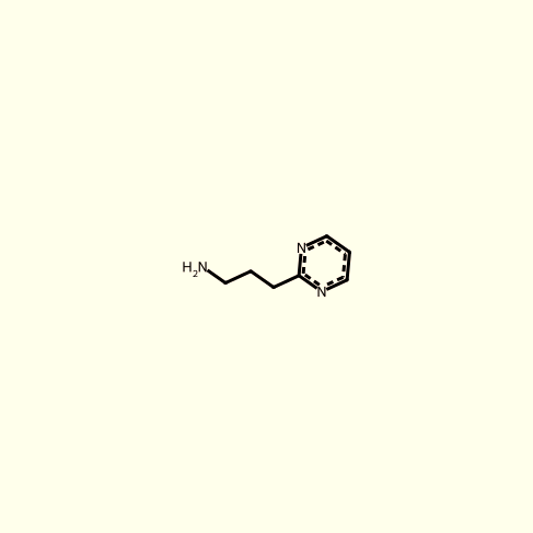 NCCCc1ncccn1